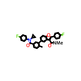 CNC(=O)c1c(-c2ccc(F)cc2)oc2ccc(-c3cc(C(=O)N(c4ccc(F)cc4)C4CC4)ccc3C)cc12